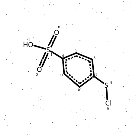 O=S(=O)(O)c1ccc(SCl)cc1